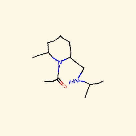 CC(=O)N1C(C)CCCC1CNC(C)C